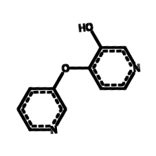 Oc1cnccc1Oc1cccnc1